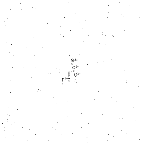 [Al+3].[O-2].[O-2].[OH-].[Ti+4]